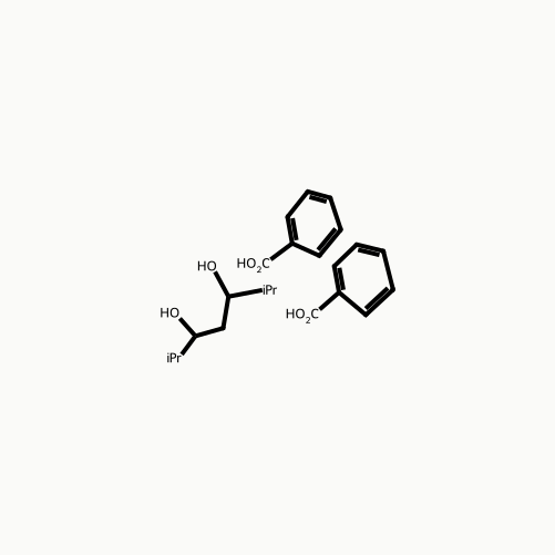 CC(C)C(O)CC(O)C(C)C.O=C(O)c1ccccc1.O=C(O)c1ccccc1